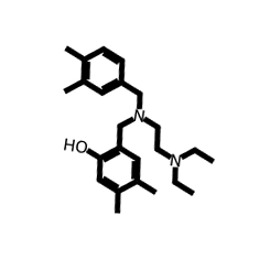 CCN(CC)CCN(Cc1ccc(C)c(C)c1)Cc1cc(C)c(C)cc1O